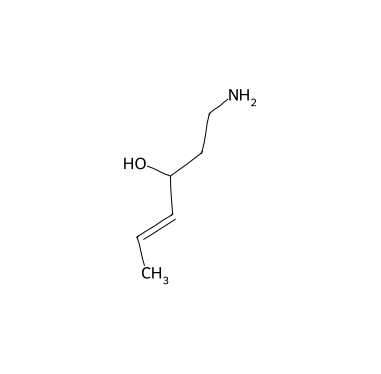 C/C=C/C(O)CCN